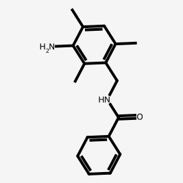 Cc1cc(C)c(CNC(=O)c2ccccc2)c(C)c1N